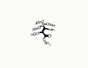 CCCCCCCCC(C(=O)ON)=C(CCC)[Si](OC)(OC)OC